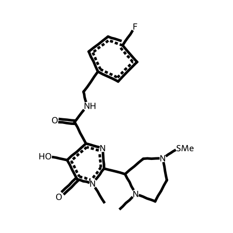 CSN1CCN(C)C(c2nc(C(=O)NCc3ccc(F)cc3)c(O)c(=O)n2C)C1